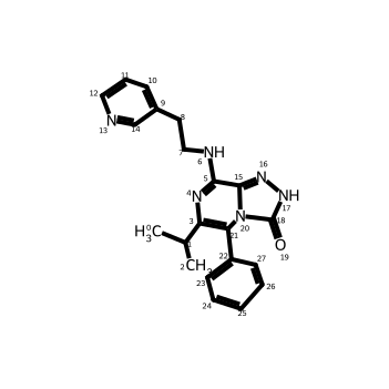 CC(C)c1nc(NCCc2cccnc2)c2n[nH]c(=O)n2c1-c1ccccc1